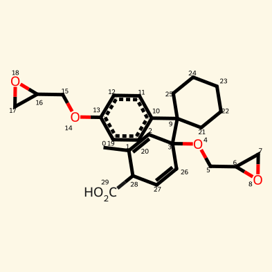 CC1=CC(OCC2CO2)(C2(c3ccc(OCC4CO4)cc3)CCCCC2)C=CC1C(=O)O